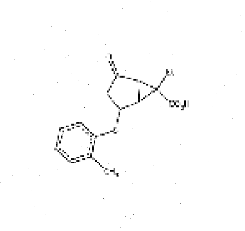 CCC1(C(=O)O)C2C(=O)CC(Sc3ccccc3C)C21